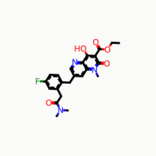 CCOC(=O)c1c(O)c2ncc(Cc3ccc(F)cc3CC(=O)N(C)C)cc2n(C)c1=O